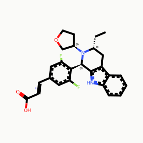 CC[C@@H]1Cc2c([nH]c3ccccc23)[C@@H](c2c(F)cc(/C=C/C(=O)O)cc2F)N1[C@@H]1CCOC1